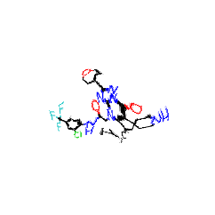 C[C@@H]1CC2(CCNCC2)c2c1n(CC(=O)Nc1ccc(C(F)(F)F)cc1Cl)c1nc(C3=CCOCC3)nn1c2=O